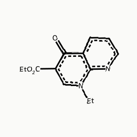 CCOC(=O)c1cn(CC)c2ncccc2c1=O